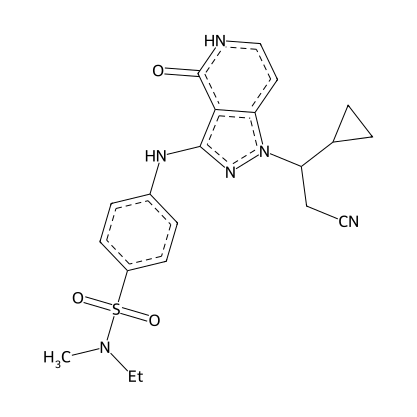 CCN(C)S(=O)(=O)c1ccc(Nc2nn(C(CC#N)C3CC3)c3cc[nH]c(=O)c23)cc1